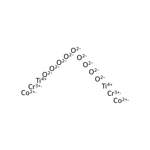 [Co+2].[Co+2].[Cr+3].[Cr+3].[O-2].[O-2].[O-2].[O-2].[O-2].[O-2].[O-2].[O-2].[O-2].[Ti+4].[Ti+4]